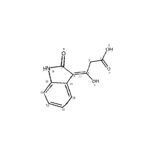 O=C(O)C/C(O)=C1\C(=O)Nc2ccccc21